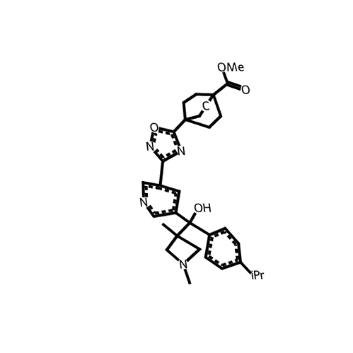 COC(=O)C12CCC(c3nc(-c4cncc(C(O)(c5ccc(C(C)C)cc5)C5(C)CN(C)C5)c4)no3)(CC1)CC2